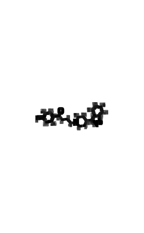 O=C(CCCN1CCC(c2nsc3ccccc23)CC1)c1ccc(F)cc1